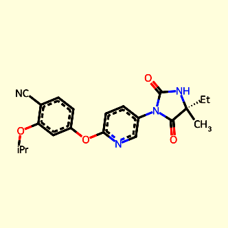 CC[C@@]1(C)NC(=O)N(c2ccc(Oc3ccc(C#N)c(OC(C)C)c3)nc2)C1=O